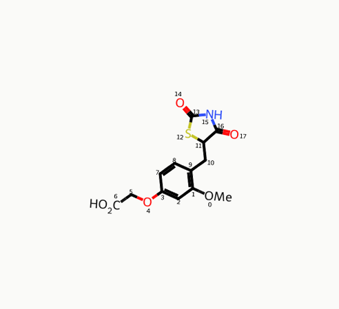 COc1cc(OCC(=O)O)ccc1CC1SC(=O)NC1=O